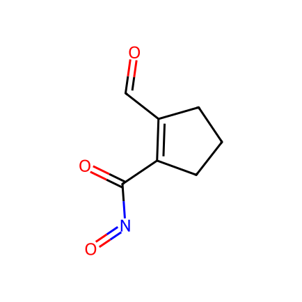 O=CC1=C(C(=O)N=O)CCC1